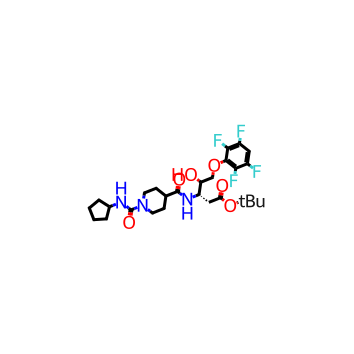 CC(C)(C)OC(=O)C[C@H](NC(=O)C1CCN(C(=O)NC2CCCC2)CC1)C(O)COc1c(F)c(F)cc(F)c1F